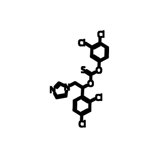 S=C(Oc1ccc(Cl)c(Cl)c1)OC(Cn1ccnc1)c1ccc(Cl)cc1Cl